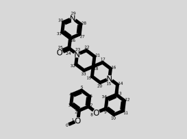 COc1ccccc1Oc1cccc(CN2CCC3(CC2)CCN(C(=O)c2ccncc2)CC3)c1